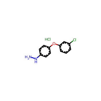 Cl.NNc1ccc(Oc2cccc(Cl)c2)cc1